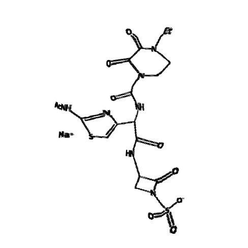 CCN1CCN(C(=O)NC(C(=O)NC2CN(S(=O)(=O)[O-])C2=O)c2csc(NC(C)=O)n2)C(=O)C1=O.[Na+]